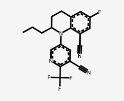 CCCC1CCc2cc(F)cc(C#N)c2N1c1cnc(C(F)(F)F)c(C#N)c1